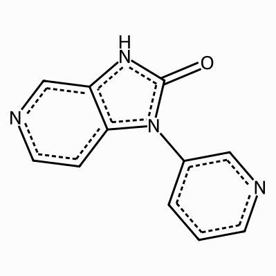 O=c1[nH]c2cnccc2n1-c1cccnc1